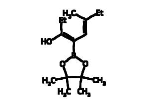 CCC(C)=C/C(B1OC(C)(C)C(C)(C)O1)=C(/O)CC